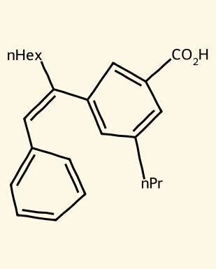 CCCCCCC(=Cc1ccccc1)c1cc(CCC)cc(C(=O)O)c1